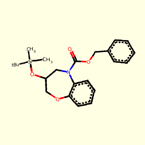 CC(C)(C)[Si](C)(C)OC1COc2ccccc2N(C(=O)OCc2ccccc2)C1